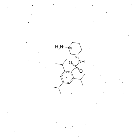 CC(C)c1cc(C(C)C)c(S(=O)(=O)N[C@H]2CCC[C@@H](N)C2)c(C(C)C)c1